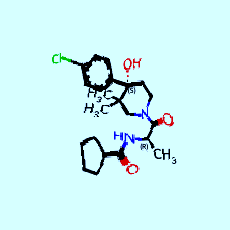 C[C@@H](NC(=O)C1CCCC1)C(=O)N1CC[C@](O)(c2ccc(Cl)cc2)C(C)(C)C1